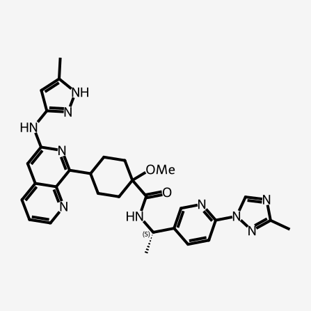 COC1(C(=O)N[C@@H](C)c2ccc(-n3cnc(C)n3)nc2)CCC(c2nc(Nc3cc(C)[nH]n3)cc3cccnc23)CC1